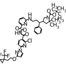 CC(C)(C)OC(=O)N1CC(C(CCNc2cccc(S(=O)(=O)NC(=O)c3ccc(-n4ccc(OCCC5(C(F)(F)F)CC5)n4)nc3Cl)n2)c2ccccc2)CC1(C)C